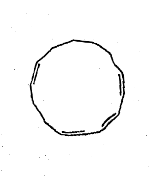 [C]1=CCCCCC=CC=CC=CCC1